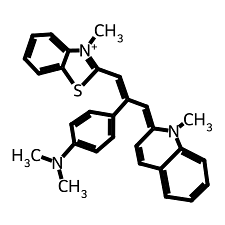 CN(C)c1ccc(C(=C\c2sc3ccccc3[n+]2C)/C=C2\C=Cc3ccccc3N2C)cc1